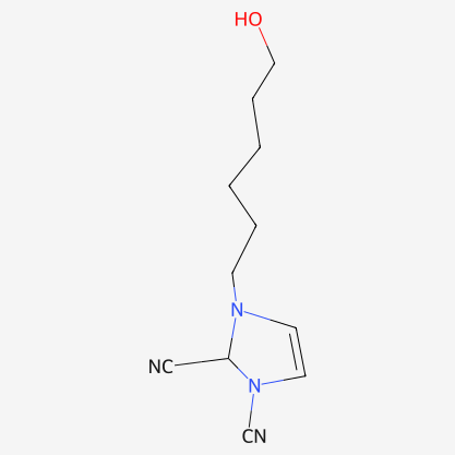 N#CC1N(C#N)C=CN1CCCCCCO